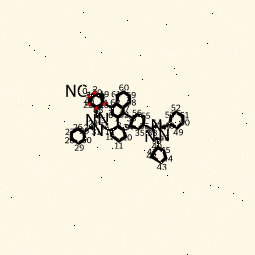 N#Cc1ccc(-c2cc(-c3ccccc3-c3nc(-c4ccccc4)nc(-c4ccccc4)n3)c(-c3ccc(-c4nc(-c5ccccc5)nc(-c5ccccc5)n4)cc3)c3ccccc23)cc1